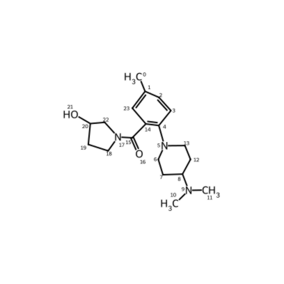 Cc1ccc(N2CCC(N(C)C)CC2)c(C(=O)N2CCC(O)C2)c1